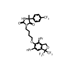 CCCc1cc2c(c(CCC)c1OCCCCN1C(=O)NC(C)(c3ccc(C(F)(F)F)cc3)C1=O)COC2(C(F)(F)F)C(F)(F)F